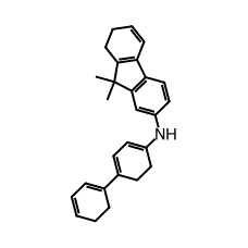 CC1(C)C2=C(C=CCC2)c2ccc(NC3=CC=C(C4=CC=CCC4)CC3)cc21